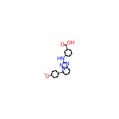 COc1ccc(-c2cccc3nc(Nc4cccc(C(=O)O)c4)nn23)cc1